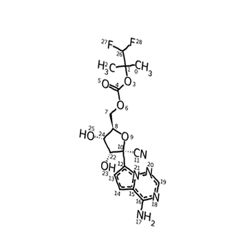 CC(C)(OC(=O)OC[C@H]1O[C@@](C#N)(c2ccc3c(N)ncnn23)[C@H](O)[C@@H]1O)C(F)F